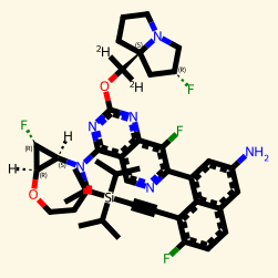 [2H]C([2H])(Oc1nc(N2CCCO[C@H]3[C@H](F)[C@H]32)c2cnc(-c3cc(N)cc4ccc(F)c(C#C[Si](C(C)C)(C(C)C)C(C)C)c34)c(F)c2n1)[C@@]12CCCN1C[C@H](F)C2